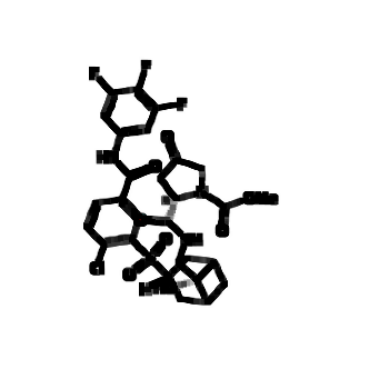 COC(=O)N1CC(=O)C[C@H]1C(=O)NC[C@]1(O)C2CC1C[C@@H](S(=O)(=O)c1cc(C(=O)Nc3cc(F)c(F)c(F)c3)ccc1Cl)C2